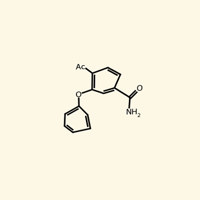 CC(=O)c1ccc(C(N)=O)cc1Oc1ccccc1